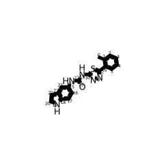 Cc1ccccc1-c1nnc(NC(=O)Nc2ccc3[nH]ccc3c2)s1